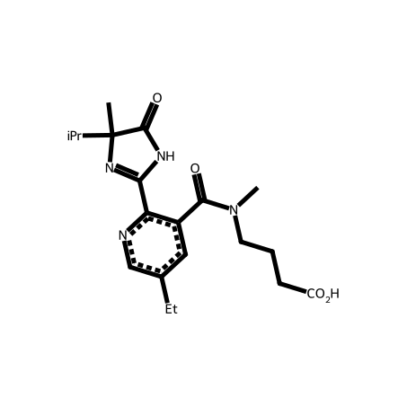 CCc1cnc(C2=NC(C)(C(C)C)C(=O)N2)c(C(=O)N(C)CCCC(=O)O)c1